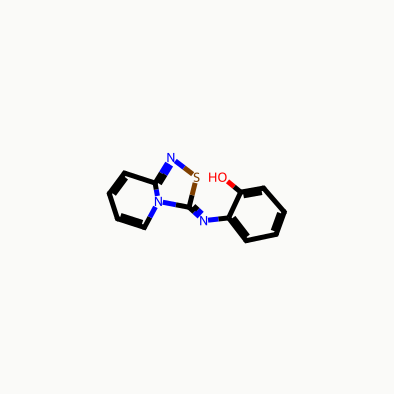 Oc1ccccc1N=c1snc2ccccn12